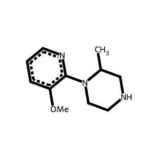 COc1cccnc1N1CCNCC1C